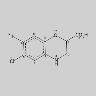 O=C(O)C1CNc2cc(Cl)c(I)cc2O1